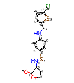 O=C1OCCC1NSc1ccc(NCc2ccc(Cl)s2)cc1